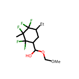 CCC1CC(C(O)OCOC)C(F)(F)C(C)(F)C1(F)F